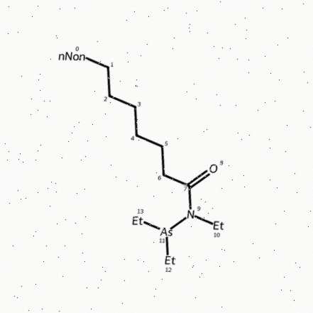 CCCCCCCCCCCCCCCC(=O)N(CC)[As](CC)CC